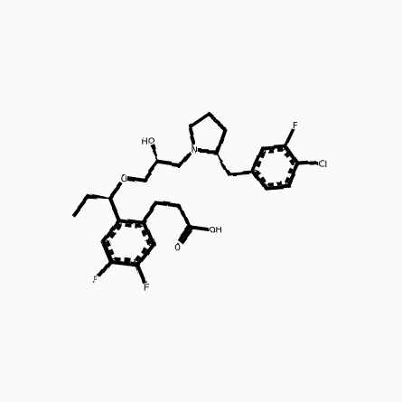 CC[C@@H](OC[C@@H](O)CN1CCC[C@H]1Cc1ccc(Cl)c(F)c1)c1cc(F)c(F)cc1CCC(=O)O